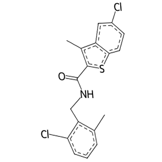 Cc1cccc(Cl)c1CNC(=O)c1sc2ccc(Cl)cc2c1C